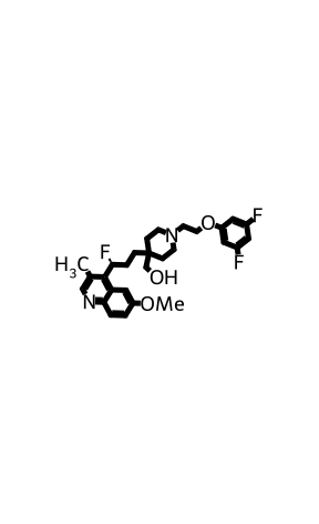 COc1ccc2ncc(C)c([C@H](F)CCC3(CO)CCN(CCOc4cc(F)cc(F)c4)CC3)c2c1